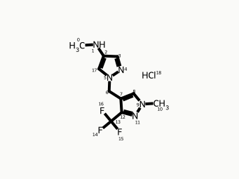 CNc1cnn(Cc2cn(C)nc2C(F)(F)F)c1.Cl